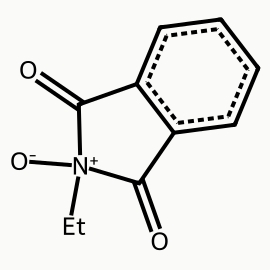 CC[N+]1([O-])C(=O)c2ccccc2C1=O